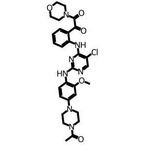 COc1cc(N2CCN(C(C)=O)CC2)ccc1Nc1ncc(Cl)c(Nc2ccccc2C(=O)C(=O)N2CCOCC2)n1